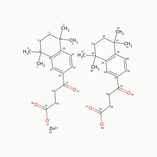 CC1(C)CCC(C)(C)c2cc(C(=O)CCC(=O)[O-])ccc21.CC1(C)CCC(C)(C)c2cc(C(=O)CCC(=O)[O-])ccc21.[Zn+2]